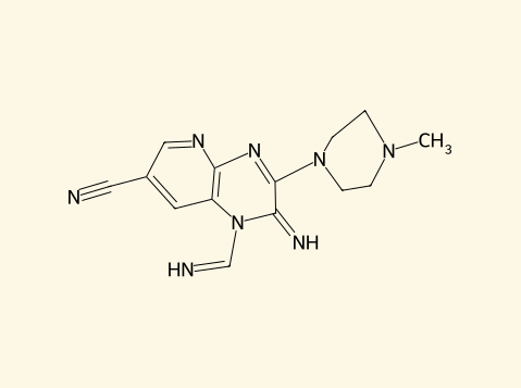 CN1CCN(c2nc3ncc(C#N)cc3n(C=N)c2=N)CC1